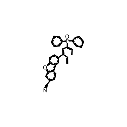 C=C/C(=C\C(=C/C)P(=O)(c1ccccc1)c1ccccc1)c1ccc2oc3cc(C#N)ccc3c2c1